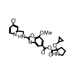 COc1cc(C(=O)OC(=O)[C@]2(OC3CC3)CCCN2)cc2nc(NCc3cc(Cl)ccn3)oc12